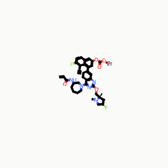 C#Cc1c(F)ccc2cc(OC(=O)OC(C)C)cc(C3=Cc4nc(OC[C@]5(C)C[C@@H](F)CN5C)nc(N5CCCCC(NC(=O)C=C)C5)c4CC3)c12